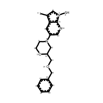 Sn1cc(I)c2cc(N3CCOC(COCc4ccccc4)C3)cnc21